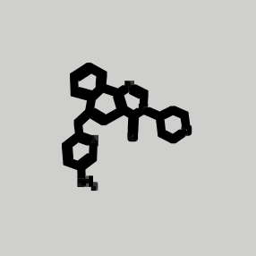 Bc1ccc(Cc2cc3c(=O)n(C4CCOCC4)cnc3c3ccccc23)nc1